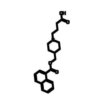 O=C(O)CCCN1CCC(COC(=O)c2cccc3ccccc23)CC1